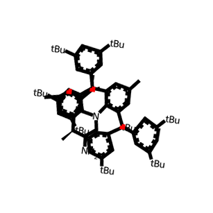 Cc1cc([C@H](C)c2cc(C(C)(C)C)cc(C(C)(C)C)c2)c(N(CCN)c2c([C@H](C)c3cc(C(C)(C)C)cc(C(C)(C)C)c3)cc(C)cc2[C@H](C)c2cc(C(C)(C)C)cc(C(C)(C)C)c2)c([C@H](C)c2cc(C(C)(C)C)cc(C(C)(C)C)c2)c1